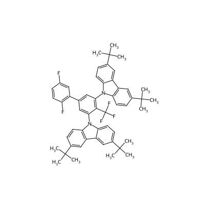 CC(C)(C)c1ccc2c(c1)c1cc(C(C)(C)C)ccc1n2-c1cc(-c2cc(F)ccc2F)cc(-n2c3ccc(C(C)(C)C)cc3c3cc(C(C)(C)C)ccc32)c1C(F)(F)F